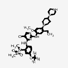 [2H]C([2H])([2H])Oc1ccc(Nc2nc(Nc3cc(CC)c(N4CCC(N5CCNCC5)CC4)cc3OC)ncc2Cl)c(N(C)S(C)(=O)=O)c1